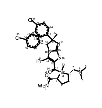 CNC(=O)[C@@H]1CC[C@@H](CN(C)C)[N+]1(C)C(=O)C1=C(C(C)C)N2C(=N[C@@](C)(c3ccc(Cl)cc3)[C@H]2c2ccc(Cl)cc2)S1